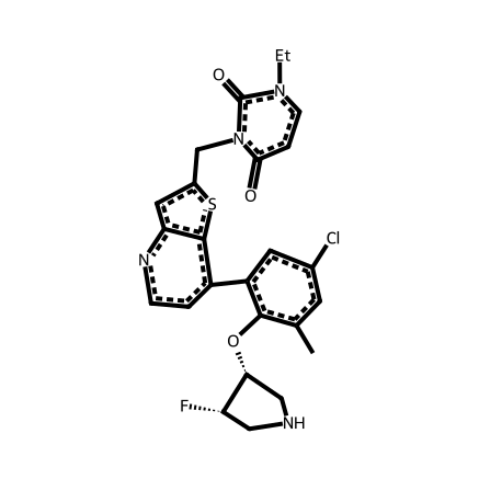 CCn1ccc(=O)n(Cc2cc3nccc(-c4cc(Cl)cc(C)c4O[C@@H]4CNC[C@@H]4F)c3s2)c1=O